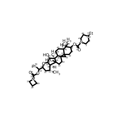 CCN1CCN(C(=O)OC2CCC34CC35CCC3(C)[C@@H]6C(OC(C(OC(=O)N7CCC7)C(C)C)C[C@H]6C)[C@H](O)[C@@]3(C)C5CC[C@H]4C2(C)C)CC1